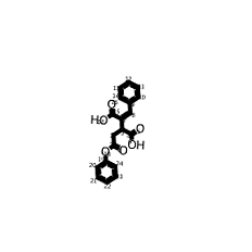 O=C(CC(C(=O)O)C(=Cc1ccccc1)C(=O)O)Oc1ccccc1